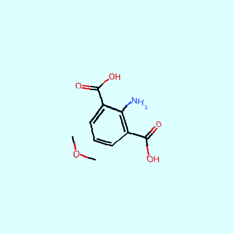 COC.Nc1c(C(=O)O)cccc1C(=O)O